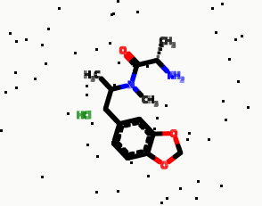 CC(Cc1ccc2c(c1)OCO2)N(C)C(=O)[C@H](C)N.Cl